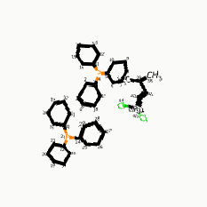 C1CCC(P(C2CCCCC2)C2CCCCC2)CC1.C1CCC(P(C2CCCCC2)C2CCCCC2)CC1.CC(C)C=[C]=[Ru]([Cl])[Cl]